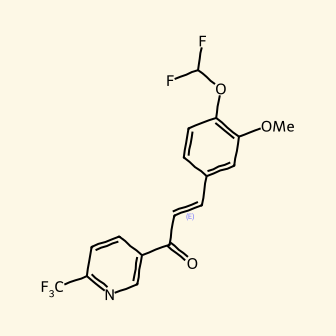 COc1cc(/C=C/C(=O)c2ccc(C(F)(F)F)nc2)ccc1OC(F)F